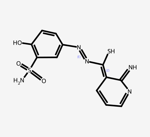 N=C1N=CC=C/C1=C(S)\N=N\c1ccc(O)c(S(N)(=O)=O)c1